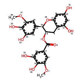 COc1cc(C(=O)O[C@@H]2Cc3c(O)cc(O)cc3O[C@@H]2c2cc(O)c(O)c(OC)c2)cc(O)c1O